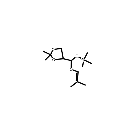 CC(C)=COC(O[Si](C)(C)C)C1COC(C)(C)O1